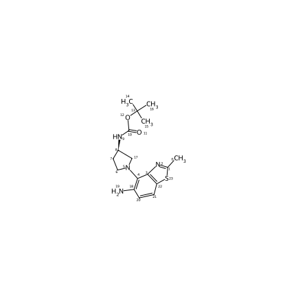 Cc1nc2c(N3CC[C@@H](NC(=O)OC(C)(C)C)C3)c(N)ccc2s1